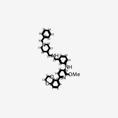 COc1nc(-c2cccc3c2OCCO3)ccc1Nc1cccc(CNCC2CCN(Cc3ccccc3)CC2)c1